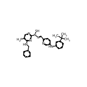 CC(C)(C)c1cccc(Nc2ccc(/C=N/N(S)c3ncc(P)c(NCc4ccccc4)n3)nc2)c1